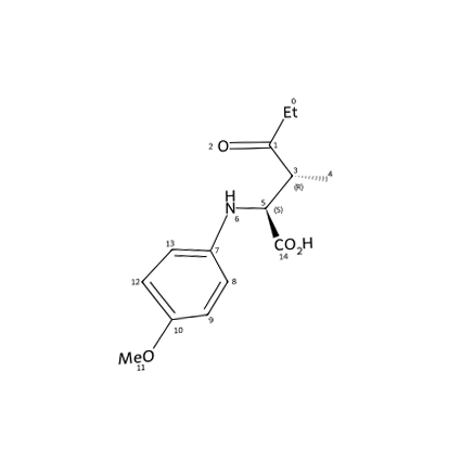 CCC(=O)[C@H](C)[C@H](Nc1ccc(OC)cc1)C(=O)O